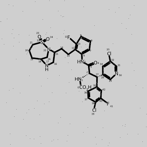 O=C(O)N[C@H](C(=O)Nc1cccc(F)c1CCC1CNC2CCCS(=O)(=O)N1C2)[C@H](c1cncc(Cl)c1)c1ccc(Cl)c(F)c1